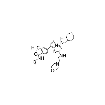 Cc1cc(-c2cnn3c(NCC4CCCCCC4)cc(NCCN4CCOCC4)nc23)ccc1C(=O)NC1CC1